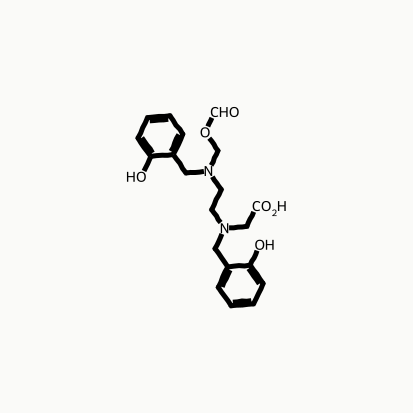 O=COCN(CCN(CC(=O)O)Cc1ccccc1O)Cc1ccccc1O